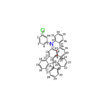 Clc1cccc(N(c2ccc3c(c2)-c2ccccc2C3(c2ccccc2)c2ccccc2)c2ccccc2-c2ccccc2)c1